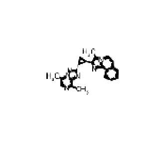 Cc1ncc(C)n2nc([C@@H]3CC3c3nc4c5ccccc5ccn4c3C)nc12